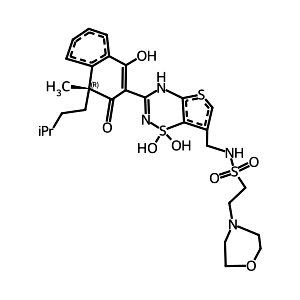 CC(C)CC[C@@]1(C)C(=O)C(C2=NS(O)(O)c3c(CNS(=O)(=O)CCN4CCOCC4)csc3N2)=C(O)c2ccccc21